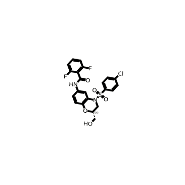 O=C(Nc1ccc2c(c1)N(S(=O)(=O)c1ccc(Cl)cc1)C[C@H](CO)O2)c1c(F)cccc1F